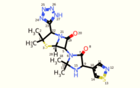 CC1(C)S[C@H]2C(N3C(=O)C(c4cnsc4)NC3(C)C)C(=O)N2C1c1nnn[nH]1